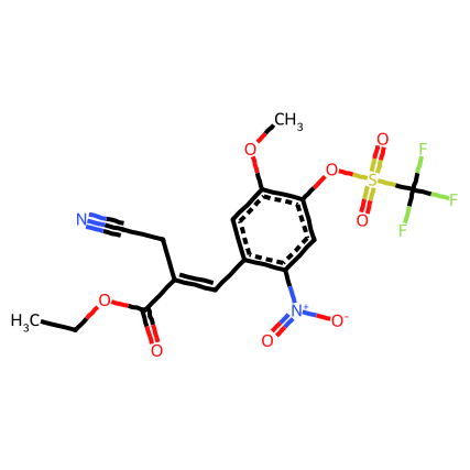 CCOC(=O)/C(=C/c1cc(OC)c(OS(=O)(=O)C(F)(F)F)cc1[N+](=O)[O-])CC#N